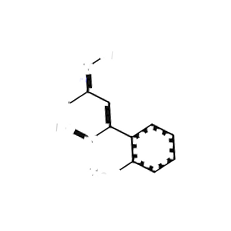 C=N/C(=C\C(Cl)=N/C)c1ccccc1OC